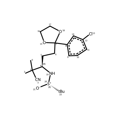 CC(C)(C#N)[C@@H](CCC1(c2cccc(Cl)c2)OCCO1)N[S@@+]([O-])C(C)(C)C